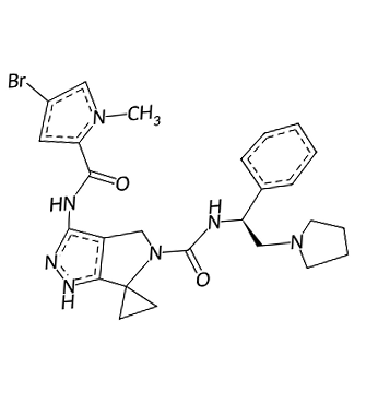 Cn1cc(Br)cc1C(=O)Nc1n[nH]c2c1CN(C(=O)N[C@H](CN1CCCC1)c1ccccc1)C21CC1